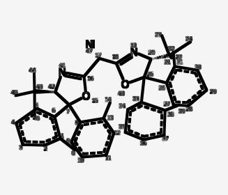 Cc1ccccc1C1(c2ccccc2C)OC(CC2=N[C@H](C(C)(C)C)C(c3ccccc3C)(c3ccccc3C)O2)=N[C@@H]1C(C)(C)C.[Ni]